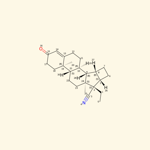 CC[C@]1(C#N)[C@H]2CC[C@H]2[C@H]2[C@@H]3CCC4=CC(=O)CC[C@]4(C)[C@H]3CC[C@@]21C